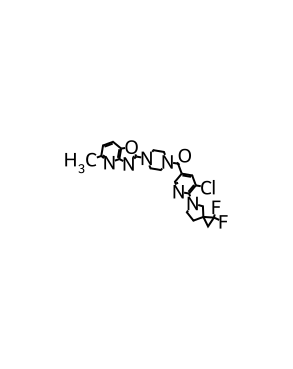 Cc1ccc2oc(N3CCN(C(=O)c4cnc(N5CCC6(C5)CC6(F)F)c(Cl)c4)CC3)nc2n1